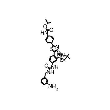 CC(C)OC(=O)Nc1ccc(-c2ncc(-c3ccc(NC(=O)NCc4cccc(N)c4)cc3S(=O)(=O)NC(C)(C)C)s2)cc1